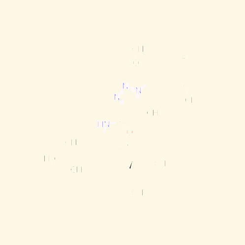 CCC[C@H](CC)Oc1ccc(C(C)(C)C)cc1NC(=O)c1nnn(-c2cc(OC)c(F)cc2OC)c1C